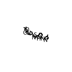 Cc1ccnc(Nc2cccc(-c3cnc(C4CCN(C(=O)OC(C)(C)C)CC4)s3)n2)c1